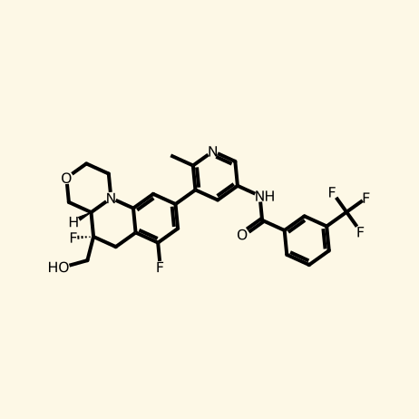 Cc1ncc(NC(=O)c2cccc(C(F)(F)F)c2)cc1-c1cc(F)c2c(c1)N1CCOC[C@H]1[C@](F)(CO)C2